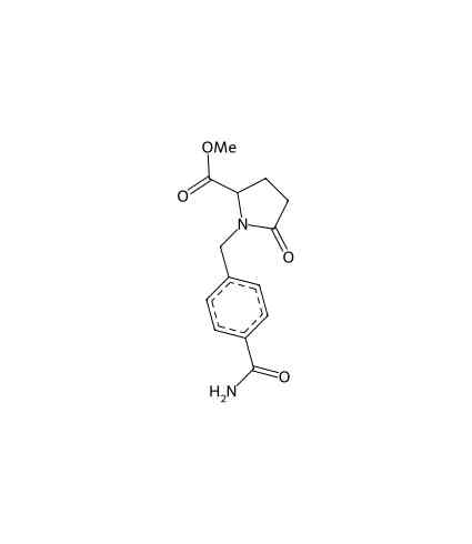 COC(=O)C1CCC(=O)N1Cc1ccc(C(N)=O)cc1